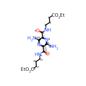 CCOC(=O)CCCNC(=O)c1nc(N)c(C(=O)NCCCC(=O)OCC)nc1N